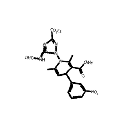 CCOC(=O)c1nc(NC=O)n(N2C(C)=CC(c3cccc([N+](=O)[O-])c3)C(C(=O)OC)=C2C)n1